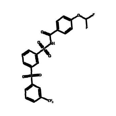 O=C(NS(=O)(=O)c1cccc(S(=O)(=O)c2cccc(C(F)(F)F)c2)c1)c1ccc(OC(F)F)cc1